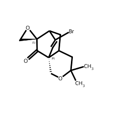 CC1(C)CC2CC3C(Br)=C[C@]2(CO1)C(=O)[C@@]31CO1